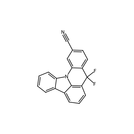 N#Cc1ccc2c(c1)-n1c3ccccc3c3cccc(c31)C2(F)F